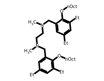 CCCCCCCCOc1c(CC)cc(CC)cc1CN(C)CCN(C)Cc1cc(CC)cc(CC)c1OCCCCCCCC